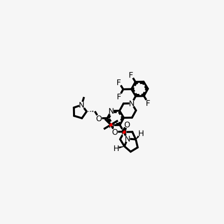 CN1CCC[C@H]1COc1nc2c(c(N3C[C@H]4CC[C@@H](C3)N4C(=O)OC(C)(C)C)n1)CCN(c1c(F)ccc(F)c1C(F)F)C2